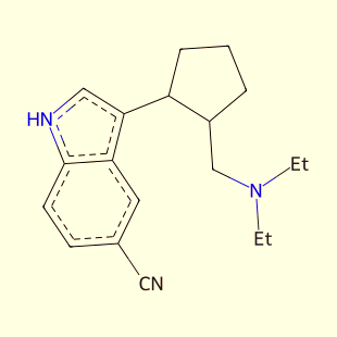 CCN(CC)CC1CCCC1c1c[nH]c2ccc(C#N)cc12